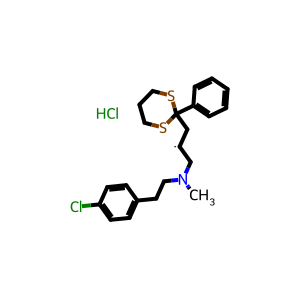 CN(C[CH]CC1(c2ccccc2)SCCCS1)CCc1ccc(Cl)cc1.Cl